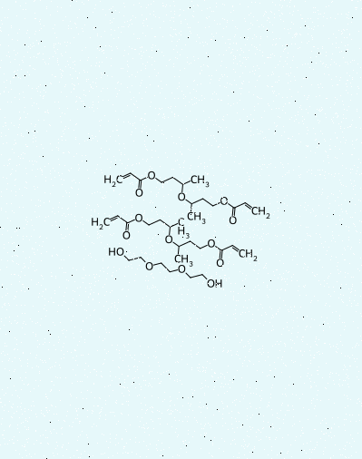 C=CC(=O)OCCC(C)OC(C)CCOC(=O)C=C.C=CC(=O)OCCC(C)OC(C)CCOC(=O)C=C.OCCOCCOCCO